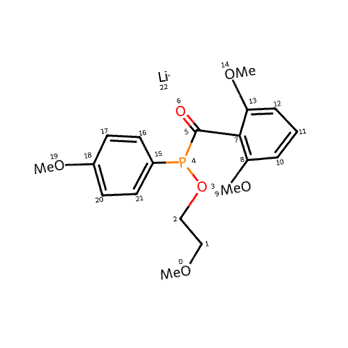 COCCOP(C(=O)c1c(OC)cccc1OC)c1ccc(OC)cc1.[Li]